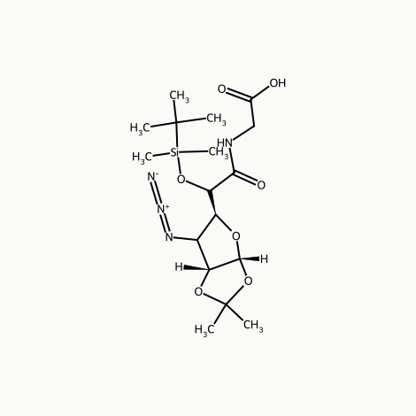 CC1(C)O[C@H]2O[C@H](C(O[Si](C)(C)C(C)(C)C)C(=O)NCC(=O)O)C(N=[N+]=[N-])[C@H]2O1